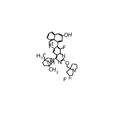 CCc1cccc2cc(O)cc(-c3c(F)cc4c(N5CC6(C)CCC(C)(C5)N6)nc(OCC56CCCN5C[C@H](F)C6)nc4c3F)c12